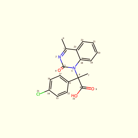 Cc1nc(=O)n(C(C)(C(=O)O)c2ccc(Cl)cc2)c2ccccc12